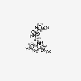 CC(=O)c1cnc(-c2cnc3[nH]ccc3c2N[C@H]2C[C@H](NS(=O)(=O)c3cc(C#N)ccn3)C2)o1